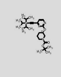 CC(C)[Si](C#Cc1ccnc(O[C@@H]2CCCN(C(=O)OC(C)(C)C)C2)n1)(C(C)C)C(C)C